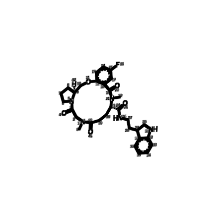 CN1CC(=O)N2CCC[C@H]2COc2ccc(F)cc2C(=O)N(C)[C@H](C(=O)NCCC2CNc3ccccc32)CCC1=O